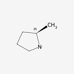 C[C@@H]1CCC[N]1